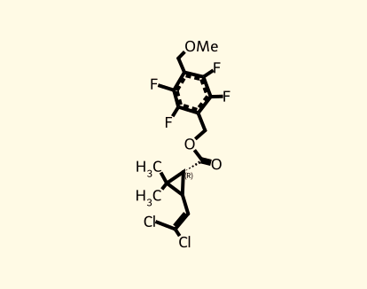 COCc1c(F)c(F)c(COC(=O)[C@@H]2C(C=C(Cl)Cl)C2(C)C)c(F)c1F